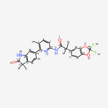 Cc1ccc(NC(=O)C(C)(C)c2ccc3c(c2)OC(F)(F)O3)nc1-c1ccc2c(c1)NC(=O)C2(C)C